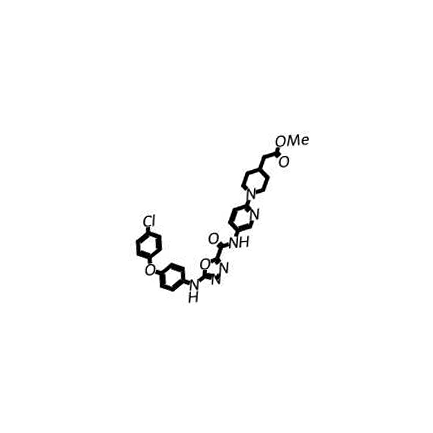 COC(=O)CC1CCN(c2ccc(NC(=O)c3nnc(Nc4ccc(Oc5ccc(Cl)cc5)cc4)o3)cn2)CC1